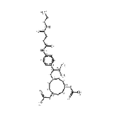 CCCNC(=O)CCC(=O)Nc1ccc(C(CN2CCN(CC(=O)O)CCN(CC(=O)O)CC2)N(C)C)cc1